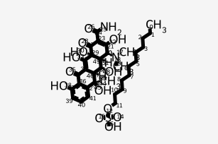 CCCCCCCCCCCCOS(=O)(=O)O.CN(C)[C@@H]1C(O)=C(C(N)=O)C(=O)[C@@]2(O)C(O)=C3C(=O)c4c(O)cccc4[C@@](C)(O)[C@H]3[C@H](O)[C@@H]12